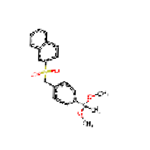 CO[Si](C)(OC)c1ccc(CS(=O)(=O)c2ccc3ccccc3c2)cc1